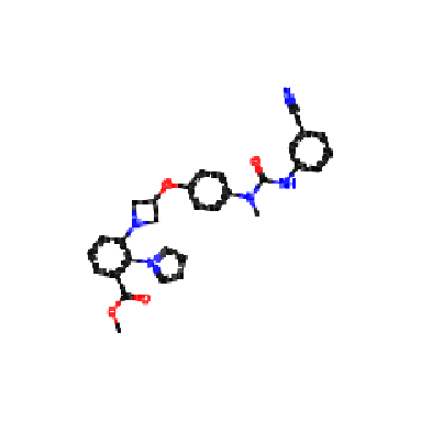 COC(=O)c1cccc(N2CC(Oc3ccc(N(C)C(=O)Nc4cccc(C#N)c4)cc3)C2)c1-n1cccc1